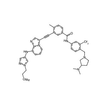 COCCn1cc(Nc2cccn3c(C#Cc4cc(C(=O)Nc5ccc(CN6CCC(N(C)C)C6)c(C(F)(F)F)c5)ccc4C)cnc23)cn1